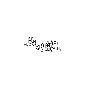 CCn1c(=O)c2c(ncn2[C@@H](C)C(=O)Nc2csc(-c3cnc(C(F)(F)F)c(C)c3)n2)n(C)c1=O